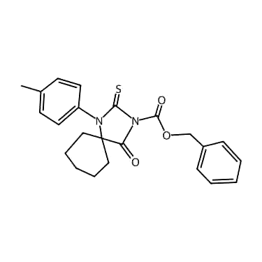 Cc1ccc(N2C(=S)N(C(=O)OCc3ccccc3)C(=O)C23CCCCC3)cc1